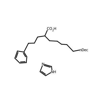 CCCCCCCCCCCCCCCC(CCCc1ccccc1)C(=O)O.c1c[nH]cn1